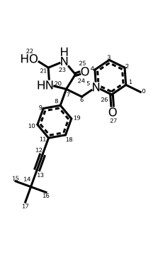 Cc1cccn(CC2(c3ccc(C#CC(C)(C)C)cc3)NC(O)NC2=O)c1=O